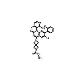 Cc1ccnc(C(C)C)c1-n1c(=O)nc(N2CC3(CN(C(=O)OC(C)(C)C)C3)C2)c2cc(Cl)c(-c3ccccc3F)nc21